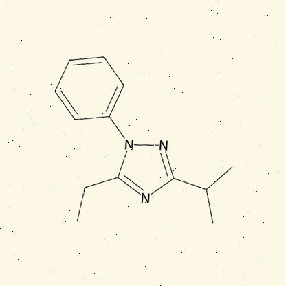 CCc1nc(C(C)C)nn1-c1ccccc1